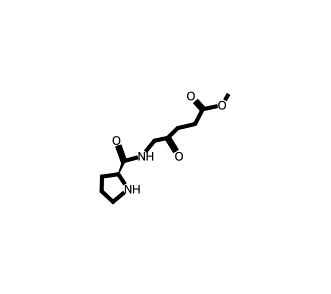 COC(=O)CCC(=O)CNC(=O)[C@@H]1CCCN1